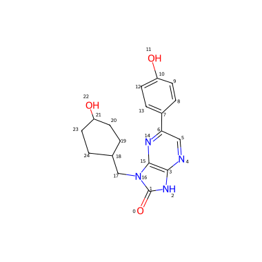 O=c1[nH]c2ncc(-c3ccc(O)cc3)nc2n1CC1CCC(O)CC1